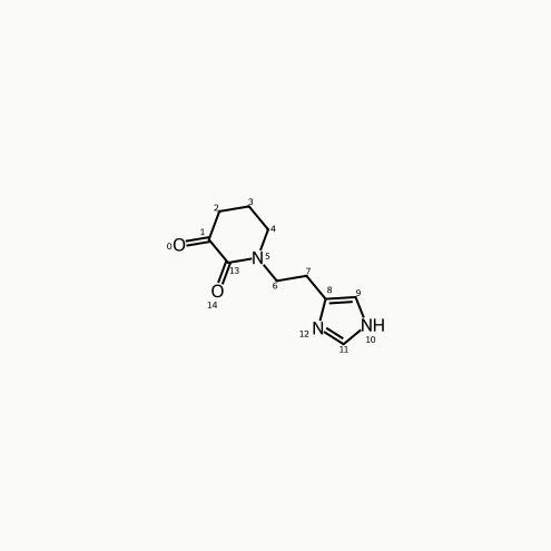 O=C1CCCN(CCc2c[nH]cn2)C1=O